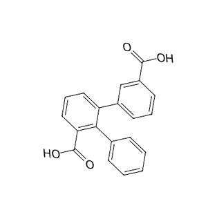 O=C(O)c1cccc(-c2cccc(C(=O)O)c2-c2ccccc2)c1